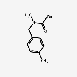 CCC(C)C(=O)N(C)Cc1ccc(C)cc1